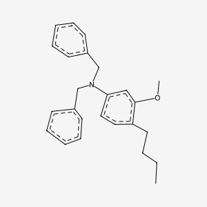 CCCCc1ccc(N(Cc2ccccc2)Cc2ccccc2)cc1OC